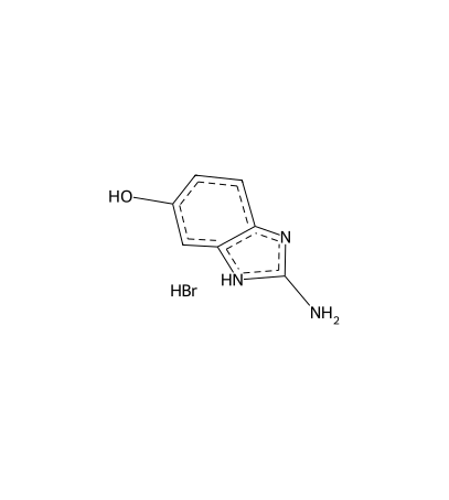 Br.Nc1nc2ccc(O)cc2[nH]1